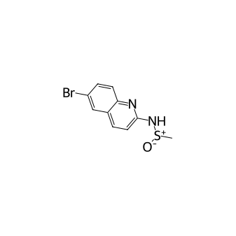 C[S+]([O-])Nc1ccc2cc(Br)ccc2n1